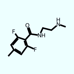 CNCCNC(=O)c1c(F)cc(C)cc1F